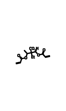 C=CC(=O)OC(C)C(CC)(C(=O)O)C(C)OC(=O)C=C